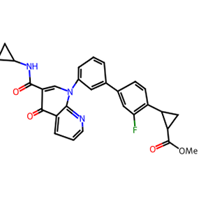 COC(=O)C1CC1c1ccc(-c2cccc(-n3cc(C(=O)NC4CC4)c(=O)c4cccnc43)c2)cc1F